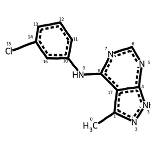 Cc1n[nH]c2ncnc(Nc3cccc(Cl)c3)c12